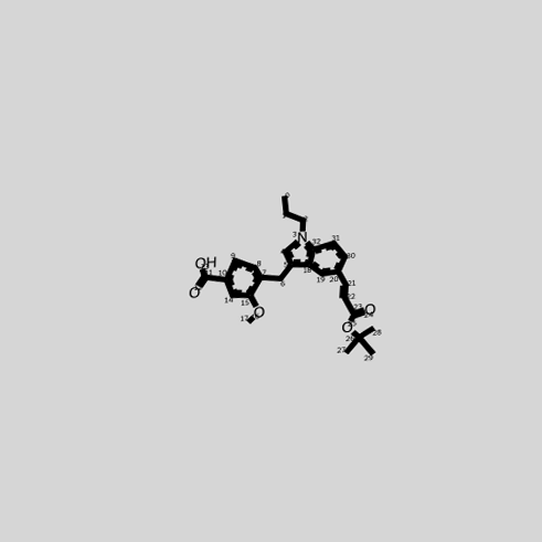 CCCn1cc(Cc2ccc(C(=O)O)cc2OC)c2cc(C=CC(=O)OC(C)(C)C)ccc21